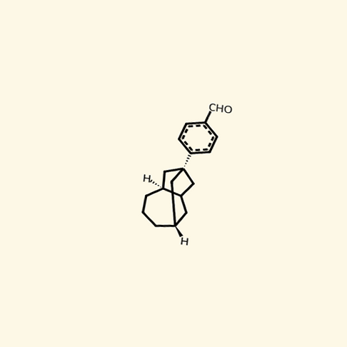 O=Cc1ccc([C@@]23CC4C[C@H](CCC[C@H]4C2)C3)cc1